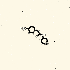 CC1CCN(CC(=O)NC2CCNCC2)CC1